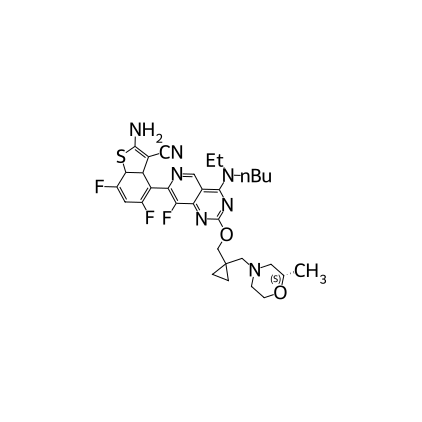 CCCCN(CC)c1nc(OCC2(CN3CCO[C@@H](C)C3)CC2)nc2c(F)c(C3=C(F)C=C(F)C4SC(N)=C(C#N)C34)ncc12